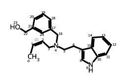 C/C=C\CN(CCc1c[nH]c2ccccc12)Cc1cccc(CO)c1